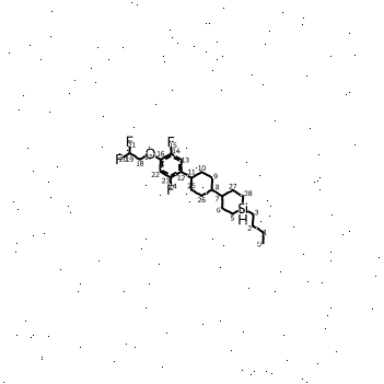 CCCC[SiH]1CCC(C2CCC(c3cc(F)c(OCC(F)F)cc3F)CC2)CC1